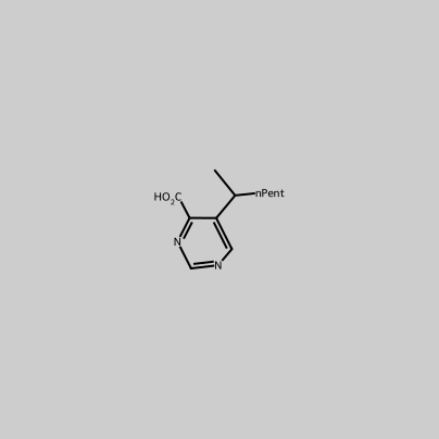 CCCCCC(C)c1cncnc1C(=O)O